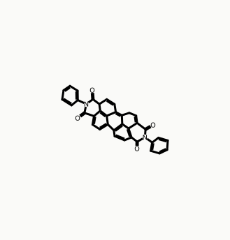 O=C1C2=CCc3c4c5c6c(ccc5c5ccc(c2c35)C(=O)N1c1ccccc1)C(=O)N(c1ccccc1)C(=O)C6C=C4